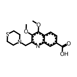 COc1c(CN2CCSCC2)nc2cc(C(=O)O)ccc2c1OC